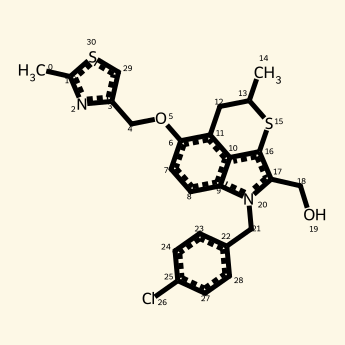 Cc1nc(COc2ccc3c4c2CC(C)Sc4c(CO)n3Cc2ccc(Cl)cc2)cs1